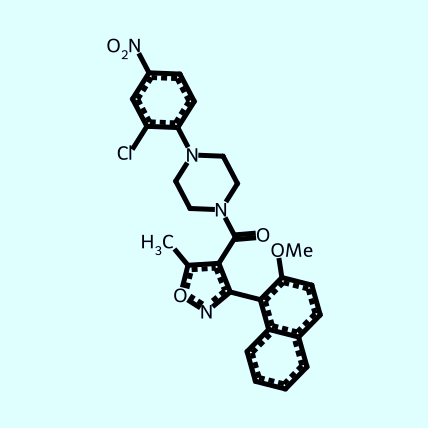 COc1ccc2ccccc2c1-c1noc(C)c1C(=O)N1CCN(c2ccc([N+](=O)[O-])cc2Cl)CC1